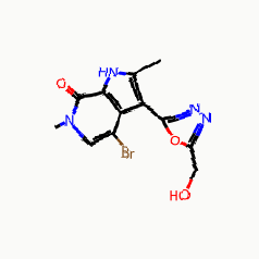 Cc1[nH]c2c(=O)n(C)cc(Br)c2c1-c1nnc(CO)o1